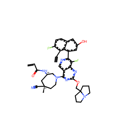 C#Cc1c(F)ccc2cc(O)cc(-c3ncc4c(N5CC[C@](C)(C#N)C[C@@H](NC(=O)C=C)C5)nc(OCC56CCCN5CCC6)nc4c3F)c12